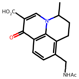 CC(=O)NCc1ccc2c(=O)c(C(=O)O)cn3c2c1CCC3C